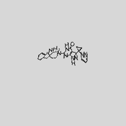 N[C@@H]1c2ccccc2CC12CCN(c1nc3[nH]nc(C4(n5cccn5)CC4)c3c(=O)[nH]1)CC2